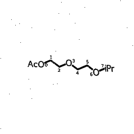 CC(=O)OCCOCCOC(C)C